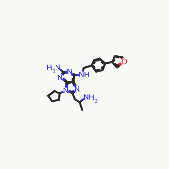 CC(N)Cc1nc2c(NCc3ccc(-c4ccoc4)cc3)nc(N)nc2n1C1CCCC1